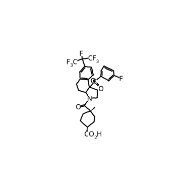 C[C@]1(C(=O)N2CCC3(S(=O)(=O)c4cccc(F)c4)c4ccc(C(F)(C(F)(F)F)C(F)(F)F)cc4CCC23)CC[C@H](C(=O)O)CC1